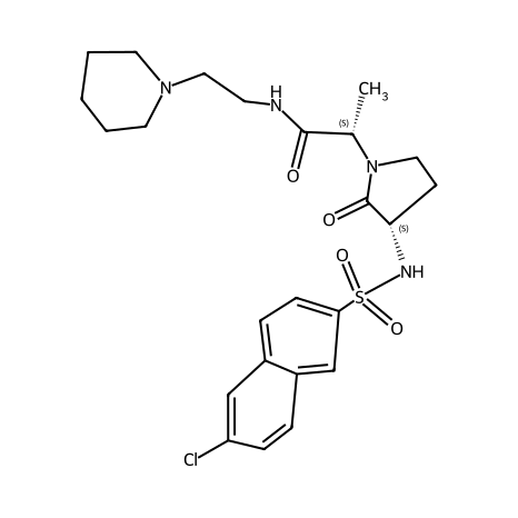 C[C@@H](C(=O)NCCN1CCCCC1)N1CC[C@H](NS(=O)(=O)c2ccc3cc(Cl)ccc3c2)C1=O